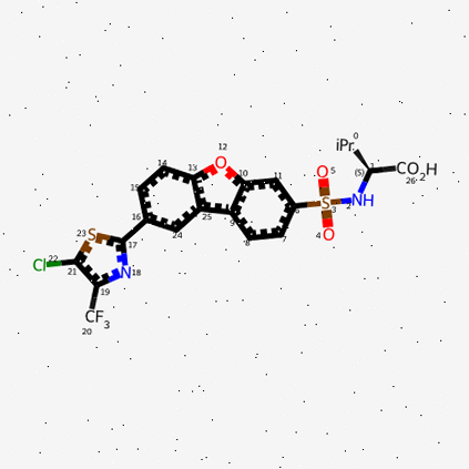 CC(C)[C@H](NS(=O)(=O)c1ccc2c(c1)oc1ccc(-c3nc(C(F)(F)F)c(Cl)s3)cc12)C(=O)O